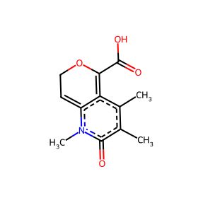 Cc1c(C)c(=O)n(C)c2c1=C(C(=O)O)OCC=2